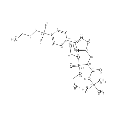 CCCCC(F)(F)c1ccc(-c2noc(CC(C(=O)OC(C)(C)C)P(=O)(OCC)OCC)n2)cc1